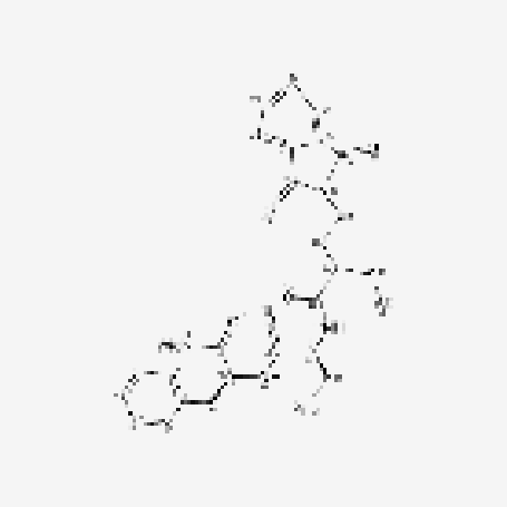 CNC(=O)[C@H](Cc1ccccc1)NC(=O)[C@H](CC(C)C)NC(=O)C(CCN1C(=O)c2ccccc2C1=O)SC(C)=O